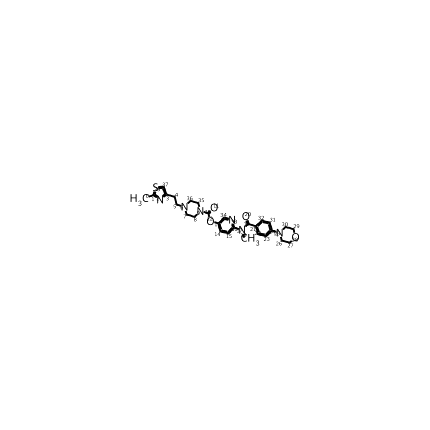 Cc1nc(CCN2CCN(C(=O)Oc3ccc(N(C)C(=O)c4ccc(N5CCOCC5)cc4)nc3)CC2)cs1